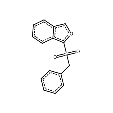 O=S(=O)(Cc1ccccc1)c1occ2ccccc12